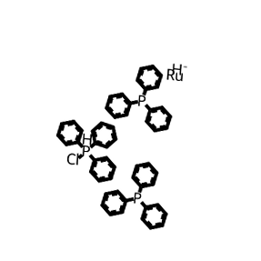 Cl[PH](c1ccccc1)(c1ccccc1)c1ccccc1.[H-].[Ru].c1ccc(P(c2ccccc2)c2ccccc2)cc1.c1ccc(P(c2ccccc2)c2ccccc2)cc1